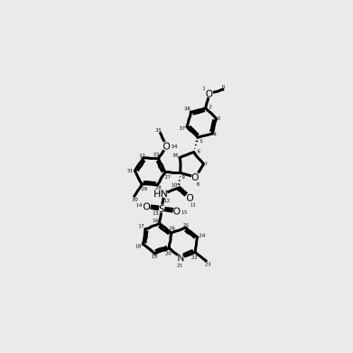 COc1ccc([C@@H]2CO[C@@](C(=O)NS(=O)(=O)c3cccc4nc(C)ccc34)(c3cc(C)ccc3OC)C2)cc1